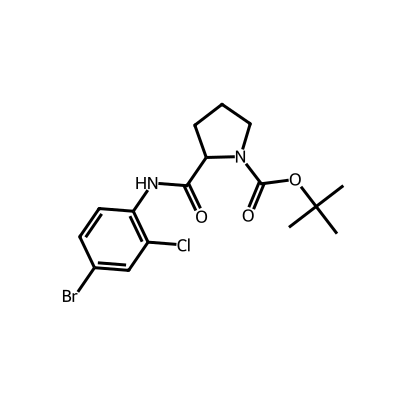 CC(C)(C)OC(=O)N1CCCC1C(=O)Nc1ccc(Br)cc1Cl